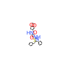 CC(C)(NC(=O)c1ccc2c(c1)OCCO2)C(=O)Nc1nc(-c2ccccc2)c(Cc2ccccc2)s1